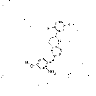 CCOc1ccc(Oc2ccc3c(c2)CCC(c2cc(F)ccc2F)O3)c([N+](=O)[O-])c1